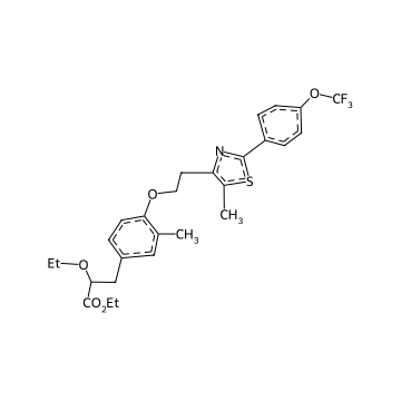 CCOC(=O)C(Cc1ccc(OCCc2nc(-c3ccc(OC(F)(F)F)cc3)sc2C)c(C)c1)OCC